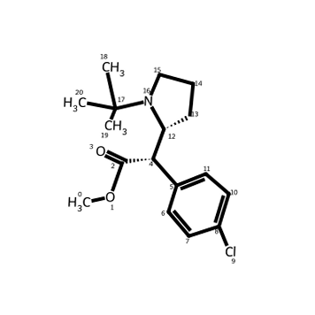 COC(=O)[C@@H](c1ccc(Cl)cc1)[C@H]1CCCN1C(C)(C)C